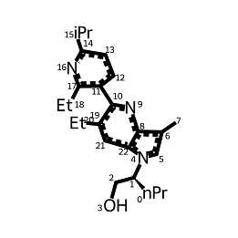 CCC[C@@H](CO)n1cc(C)c2nc(-c3ccc(C(C)C)nc3CC)c(CC)cc21